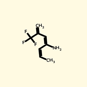 C=C(/C=C(N)\C=C/C)C(F)(F)F